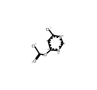 O=C(Cl)Oc1cc(Cl)ncn1